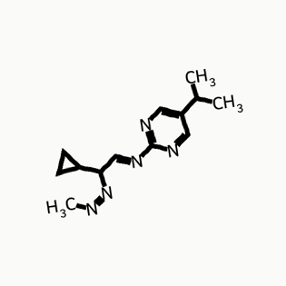 C/N=N\C(/C=N/c1ncc(C(C)C)cn1)C1CC1